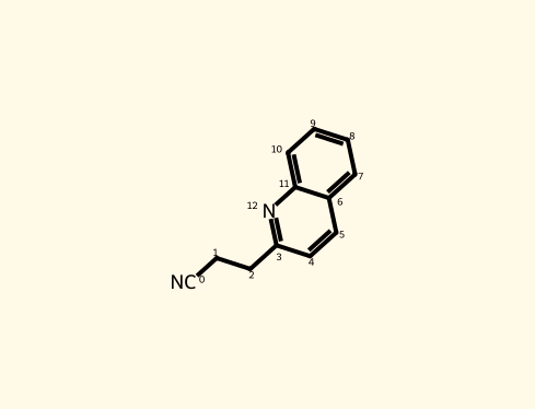 N#CCCc1ccc2ccccc2n1